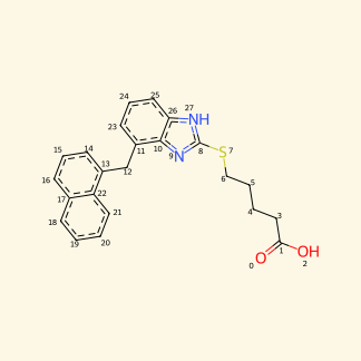 O=C(O)CCCCSc1nc2c(Cc3cccc4ccccc34)cccc2[nH]1